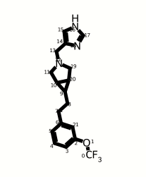 FC(F)(F)Oc1cccc([CH]CC2C3CN(Cc4c[nH]cn4)CC23)c1